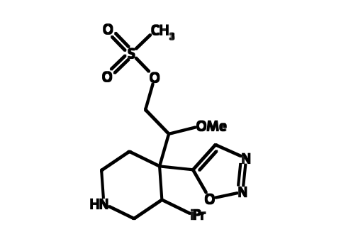 COC(COS(C)(=O)=O)C1(c2cnno2)CCNCC1C(C)C